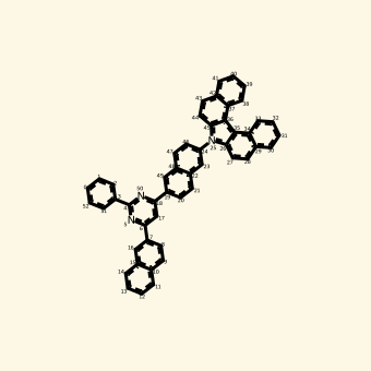 c1ccc(-c2nc(-c3ccc4ccccc4c3)cc(-c3ccc4cc(-n5c6ccc7ccccc7c6c6c7ccccc7ccc65)ccc4c3)n2)cc1